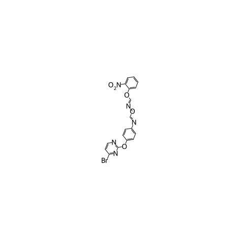 O=[N+]([O-])c1ccccc1O/C=N/O/C=N/c1ccc(Oc2nccc(Br)n2)cc1